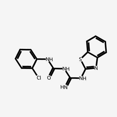 N=C(NC(=O)Nc1ccccc1Cl)Nc1nc2ccccc2s1